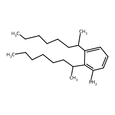 CCCCCCC(C)c1cccc(P)c1C(C)CCCCCC